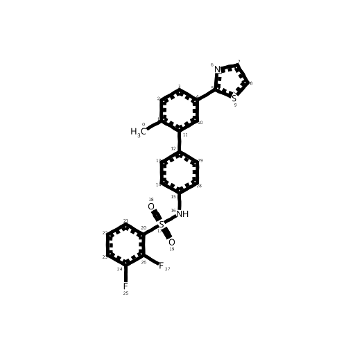 Cc1ccc(-c2nccs2)cc1-c1ccc(NS(=O)(=O)c2cccc(F)c2F)cc1